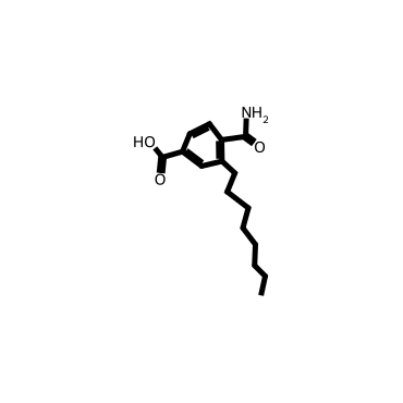 CCCCCCCCc1cc(C(=O)O)ccc1C(N)=O